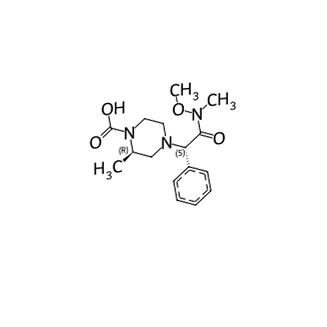 CON(C)C(=O)[C@H](c1ccccc1)N1CCN(C(=O)O)[C@H](C)C1